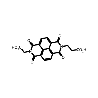 O=C(O)CCN1C(=O)c2ccc3c4c(ccc(c24)C1=O)C(=O)N(CC(=O)O)C3=O